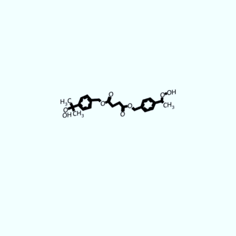 CC(OO)c1ccc(COC(=O)CCC(=O)OCc2ccc(C(C)(C)OO)cc2)cc1